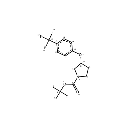 CC(C)(C)OC(=O)N1CC[C@@H](Oc2ccc(C(F)(F)F)cc2)C1